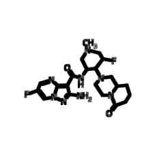 CN1CC(F)C(N2CCN3C(=O)CCCC3C2)C(NC(=O)c2c(N)nn3cc(F)cnc23)C1